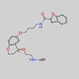 CCCNCCO[C@H]1CCOc2ccc(OCCCCNC(=O)c3cc4ccccc4o3)cc21